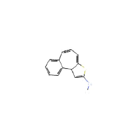 CCNC1=CC2C(=CC=Cc3ccccc32)S1